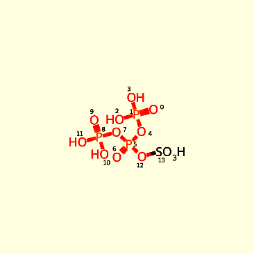 O=P(O)(O)OP(=O)(OP(=O)(O)O)OS(=O)(=O)O